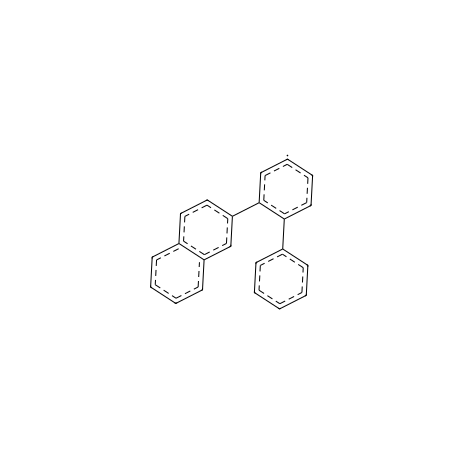 [c]1ccc(-c2ccccc2)c(-c2ccc3ccccc3c2)c1